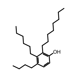 CCCCCCCCc1c(O)ccc(CCCC)c1CCCCCC